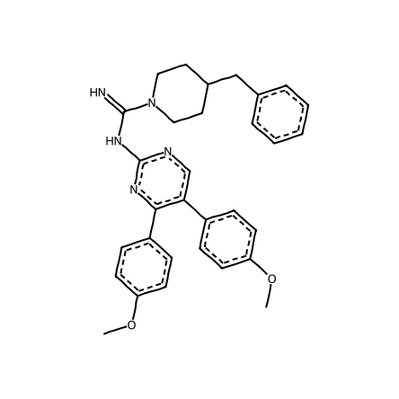 COc1ccc(-c2cnc(NC(=N)N3CCC(Cc4ccccc4)CC3)nc2-c2ccc(OC)cc2)cc1